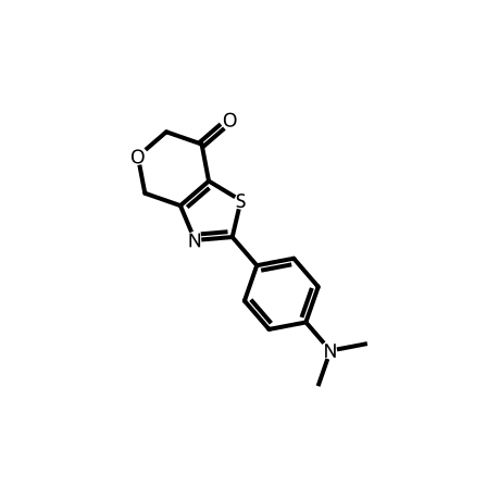 CN(C)c1ccc(-c2nc3c(s2)C(=O)COC3)cc1